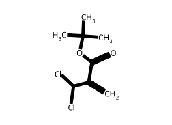 C=C(C(=O)OC(C)(C)C)C(Cl)Cl